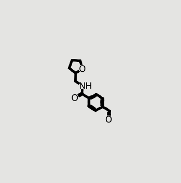 O=Cc1ccc(C(=O)NCC2CCCO2)cc1